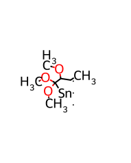 CCC(OC)[C]([Sn])(OC)OC